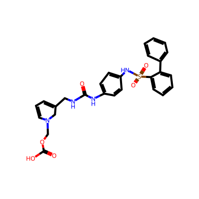 O=C(NCC1=CC=CN(COC(=O)O)C1)Nc1ccc(NS(=O)(=O)c2ccccc2-c2ccccc2)cc1